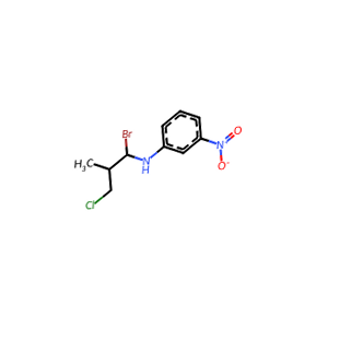 CC(CCl)C(Br)Nc1cccc([N+](=O)[O-])c1